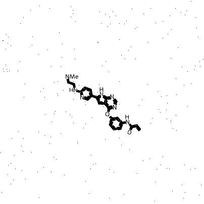 C=CC(=O)Nc1cccc(Oc2ncnc3[nH]c(-c4ccc(NCCNC)nc4)cc23)c1